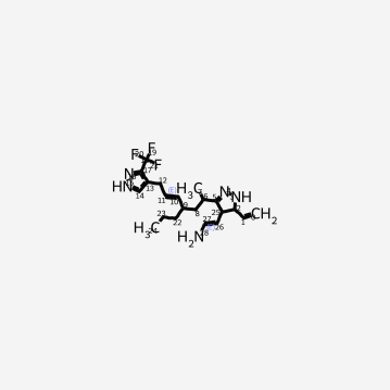 C=CC1NN=C(C(C)CC(/C=C/Cc2c[nH]nc2C(F)(F)F)CCC)C1/C=C/N